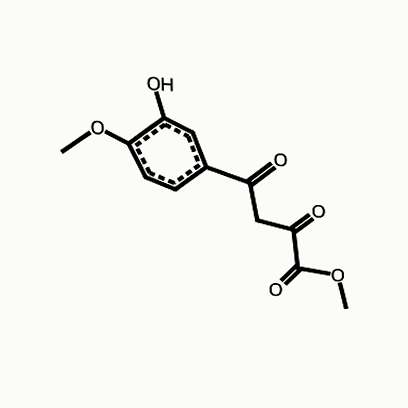 COC(=O)C(=O)CC(=O)c1ccc(OC)c(O)c1